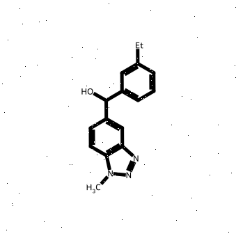 CCc1cccc(C(O)c2ccc3c(c2)nnn3C)c1